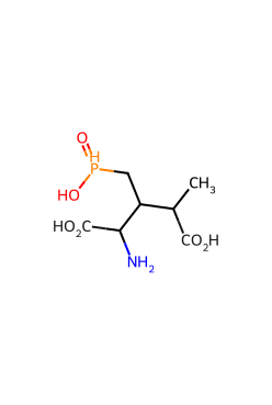 CC(C(=O)O)C(C[PH](=O)O)C(N)C(=O)O